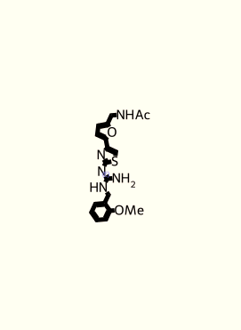 COc1ccccc1CN/C(N)=N/c1nc(-c2ccc(CNC(C)=O)o2)cs1